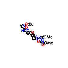 COCC1CC(c2nc3ccc4cc5c(cc4c3[nH]2)OCc2cc(-c3cnc(C4CC(C)CN4C(=O)OC(C)(C)C)[nH]3)ccc2-5)N(C(=O)[C@@H](NC(=O)OC)C(C)C)C1